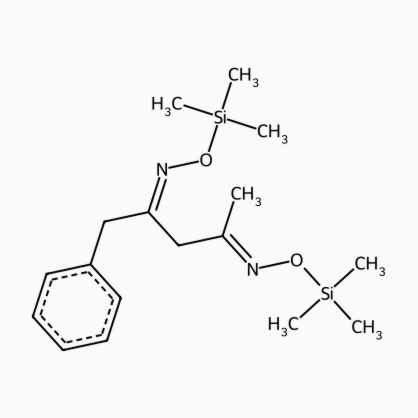 C/C(C/C(Cc1ccccc1)=N\O[Si](C)(C)C)=N\O[Si](C)(C)C